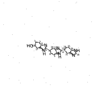 Oc1ccc2nc(-c3ccc4[nH]c(-c5ccc6[nH]cnc6c5)nc4c3)[nH]c2c1